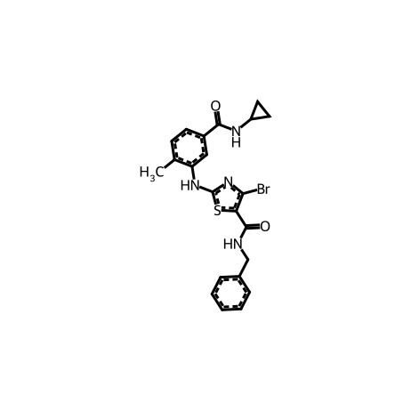 Cc1ccc(C(=O)NC2CC2)cc1Nc1nc(Br)c(C(=O)NCc2ccccc2)s1